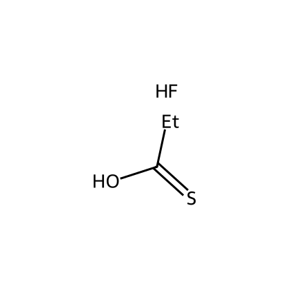 CCC(O)=S.F